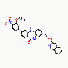 COc1cc(-c2ccc3c(c2)Nc2ccc(CCOc4cc5ccccc5cn4)cc2NC3=O)ccc1[N+](=O)[O-]